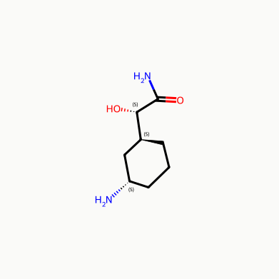 NC(=O)[C@@H](O)[C@H]1CCC[C@H](N)C1